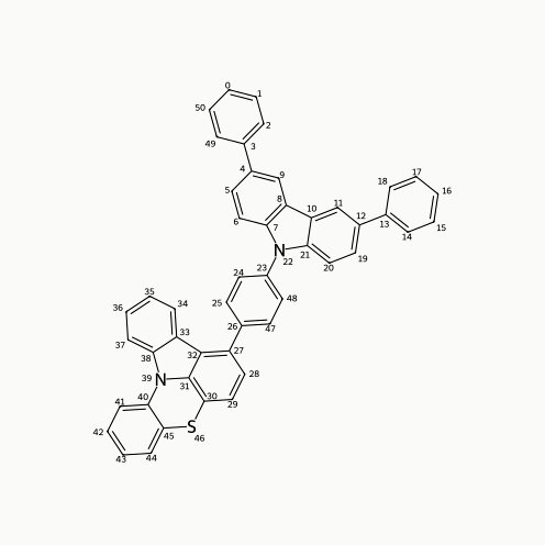 c1ccc(-c2ccc3c(c2)c2cc(-c4ccccc4)ccc2n3-c2ccc(-c3ccc4c5c3c3ccccc3n5-c3ccccc3S4)cc2)cc1